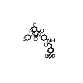 CS(=O)(=O)c1ccc(CC(=O)NC2CCC(n3c(=O)c4cc(F)cnc4n(C4CCSCC4)c3=O)CC2)cc1